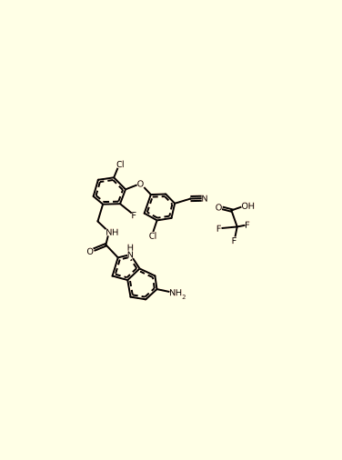 N#Cc1cc(Cl)cc(Oc2c(Cl)ccc(CNC(=O)c3cc4ccc(N)cc4[nH]3)c2F)c1.O=C(O)C(F)(F)F